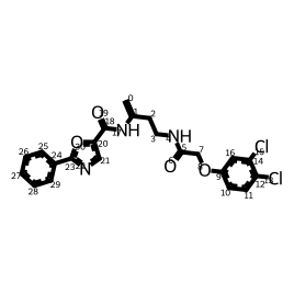 C=C(CCNC(=O)COc1ccc(Cl)c(Cl)c1)NC(=O)c1cnc(-c2ccccc2)o1